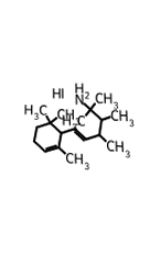 CC1=CCCC(C)(C)C1C=CC(C)C(C)C(C)(C)N.I